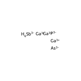 [As-3].[Ga+3].[Ga+3].[Ga+3].[P-3].[SbH6-3]